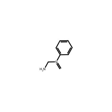 C=[Si](CN)c1ccccc1